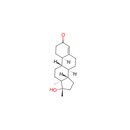 C[C@]1(O)CC[C@H]2[C@@H]3CCC4=CC(=O)CC[C@@H]4[C@H]3CC[C@@]21C